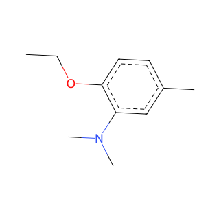 CCOc1ccc(C)cc1N(C)C